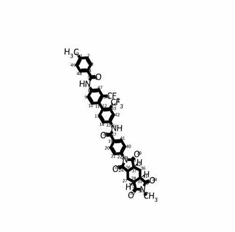 Cc1ccc(C(=O)Nc2ccc(-c3ccc(NC(=O)c4ccc(N5C(=O)C6C[C@H]7C(=O)N(C)C(=O)[C@@H]7C[C@@H]6C5=O)cc4)cc3C(F)(F)F)c(C(F)(F)F)c2)cc1